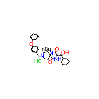 CCCCN1C(=O)[C@@H]([C@@H](O)C2CCCCC2)NC(=O)C12CCN(Cc1ccc(Oc3ccccc3)cc1)CC2.Cl